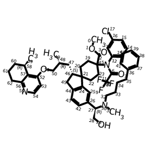 COC(=O)C1(N(C(=O)C(F)(F)F)c2cccc(Cl)c2)CCC2(CC1)c1cc([C@H](CO)N(C)CCCCc3ccccc3)ccc1C[C@@H]2C[C@@H](C)COc1ccnc2c1[C@H](C)CCC2